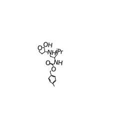 Cc1ccc(COC(=O)N[C@@H](CN[C@H]2CCOC2O)CC(C)C)cc1